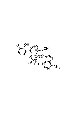 Nc1ncnc2c1ncn2[C@@H]1O[C@H](C(OP(=O)(O)O)C(=O)c2cccc(O)c2O)[C@@H](O)[C@H]1O